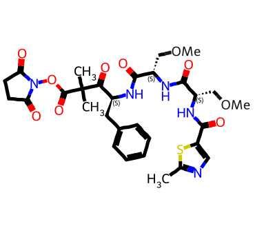 COC[C@H](NC(=O)c1cnc(C)s1)C(=O)N[C@@H](COC)C(=O)N[C@@H](Cc1ccccc1)C(=O)C(C)(C)C(=O)ON1C(=O)CCC1=O